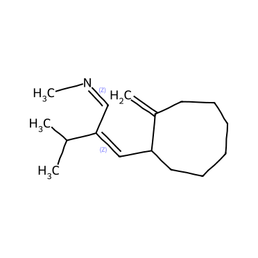 C=C1CCCCCCC1/C=C(\C=N/C)C(C)C